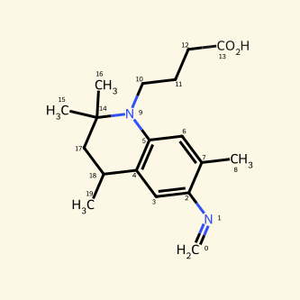 C=Nc1cc2c(cc1C)N(CCCC(=O)O)C(C)(C)CC2C